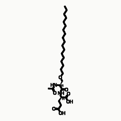 CCCCCCCCCCCCCCCCCCOC[C@@H](NC(C)=O)C(=O)N[C@H](CCC(=O)O)C(=O)O